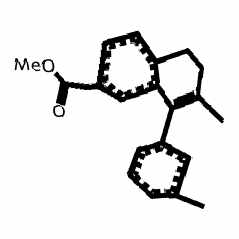 COC(=O)c1ccc2c(c1)C(c1cccc(C)c1)=C(C)CC2